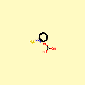 N.OB(O)O.S.c1ccccc1